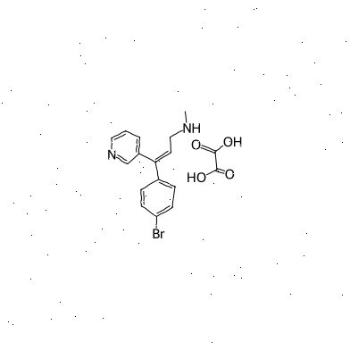 CNCC=C(c1ccc(Br)cc1)c1cccnc1.O=C(O)C(=O)O